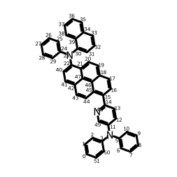 c1ccc(N(c2ccccc2)c2ccc(-c3ccc4ccc5c(N(c6ccccc6)c6cccc7ccccc67)ccc6ccc3c4c65)nc2)cc1